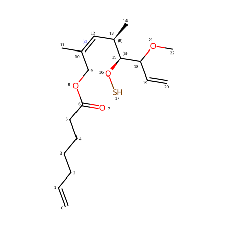 C=CCCCCC(=O)OC/C(C)=C\[C@@H](C)[C@H](OS)C(C=C)OC